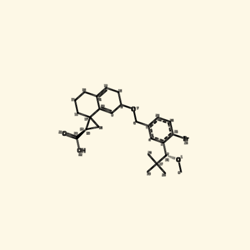 CO[C@@H](c1cc(COC2C=C3C(=CC2)CCCC32C[C@H]2C(=O)O)ccc1Br)C(C)(C)C